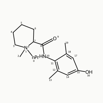 CCC[N+]1(C)CCCCC1C(=O)Nc1c(C)cc(O)cc1C